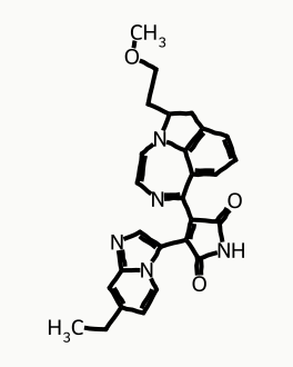 CCc1ccn2c(C3=C(C4=NC=CN5c6c(cccc64)CC5CCOC)C(=O)NC3=O)cnc2c1